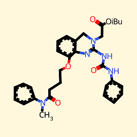 CC(C)COC(=O)CN1Cc2cccc(OCCCC(=O)N(C)c3ccccc3)c2N=C1NC(=O)Nc1ccccc1